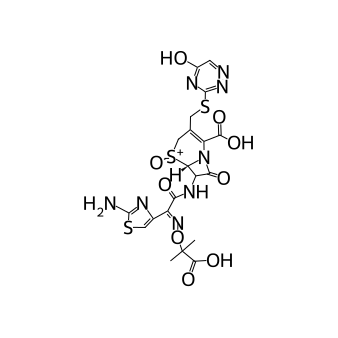 CC(C)(ON=C(C(=O)NC1C(=O)N2C(C(=O)O)=C(CSc3nncc(O)n3)C[S+]([O-])[C@@H]12)c1csc(N)n1)C(=O)O